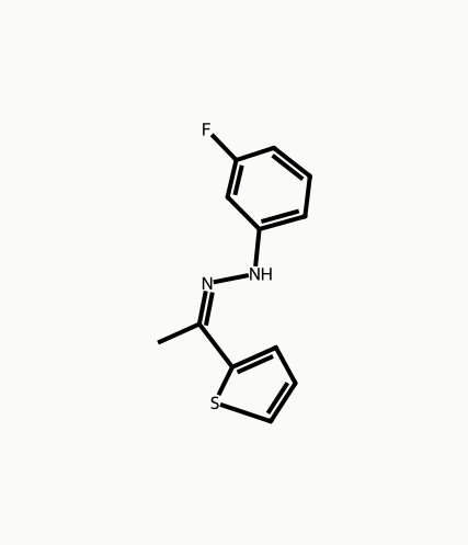 CC(=NNc1cccc(F)c1)c1cccs1